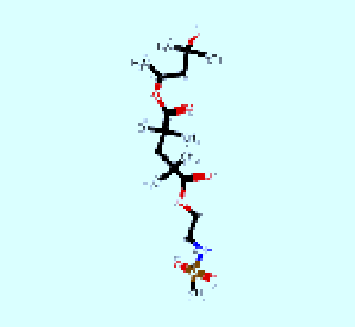 CCC(C)(CC(C)(C)C(=O)OCCNS(C)(=O)=O)C(=O)OC(C)CC(C)(O)C(F)(F)F